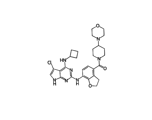 O=C(c1ccc(Nc2nc(NC3CCC3)c3c(Cl)c[nH]c3n2)c2c1CCO2)N1CCC(N2CCOCC2)CC1